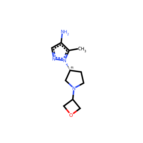 Cc1c(N)cnn1[C@@H]1CCN(C2COC2)C1